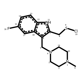 CN1CCN(Cc2c(CSCl)[nH]c3ccc(F)cc23)CC1